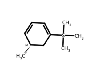 C[C@@H]1C=CC=C(S(C)(C)C)C1